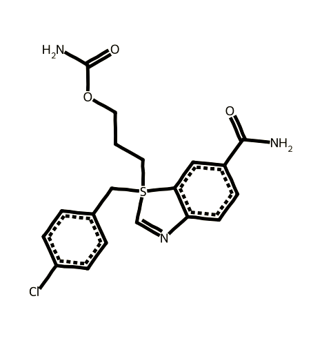 NC(=O)OCCCS1(Cc2ccc(Cl)cc2)C=Nc2ccc(C(N)=O)cc21